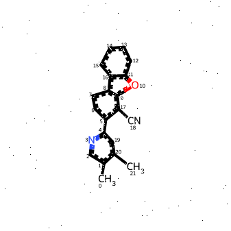 Cc1cnc(-c2ccc3c(oc4ccccc43)c2C#N)cc1C